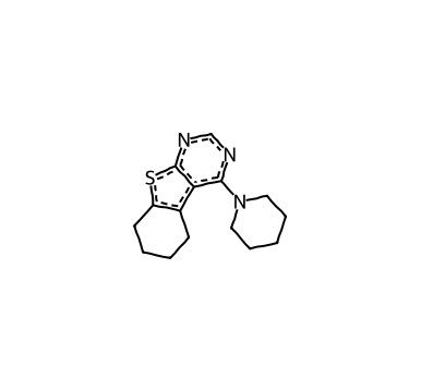 c1nc(N2CCCCC2)c2c3c(sc2n1)CCCC3